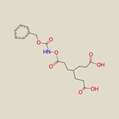 O=C(O)CCC(CCC(=O)O)CCC(=O)ONC(=O)OCc1ccccc1